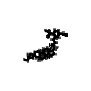 CCOC[C@@]1(O)CC[C@H]2[C@H](CC[C@@H]3[C@@H]2CC[C@]2(C)[C@@H]([C@@H](C)NCCc4cc(C#N)ccc4C(=O)OC)CC[C@@H]32)C1